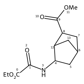 CCOC(=O)C(=O)NC1CC2CC(C(=O)OC)C1C2